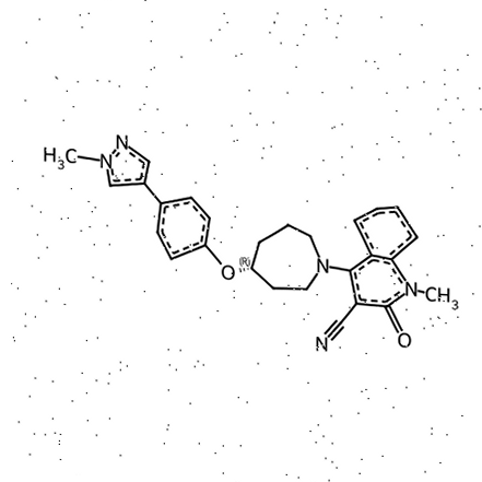 Cn1cc(-c2ccc(O[C@@H]3CCCN(c4c(C#N)c(=O)n(C)c5ccccc45)CC3)cc2)cn1